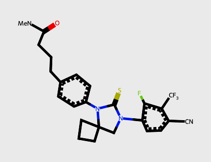 CNC(=O)CCCc1ccc(N2C(=S)N(c3ccc(C#N)c(C(F)(F)F)c3F)CC23CCC3)cc1